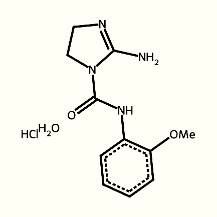 COc1ccccc1NC(=O)N1CCN=C1N.Cl.O